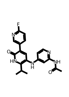 CC(=O)Nc1cc(Nc2cc(-c3ccc(F)nc3)c(=O)[nH]c2C(C)C)ccn1